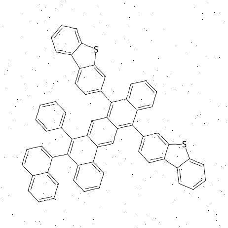 c1ccc(-c2c(-c3cccc4ccccc34)c3ccccc3c3cc4c(-c5ccc6c(c5)sc5ccccc56)c5ccccc5c(-c5ccc6c(c5)sc5ccccc56)c4cc23)cc1